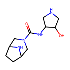 O=C(NC1CNCC1O)N1CC2CCC(C1)N2